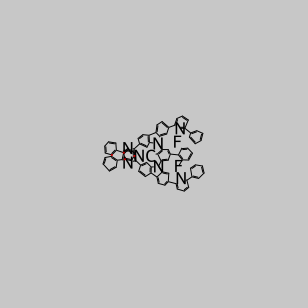 N#Cc1c(-n2c3cc(-c4cccc(-c5ccccc5)n4)ccc3c3ccc(-c4cccc(-c5ccccc5)n4)cc32)cc(-c2c(F)cccc2F)cc1-n1c2cc(-c3cccc(-c4ccccc4)n3)ccc2c2ccc(-c3cccc(-c4ccccc4)n3)cc21